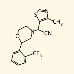 Cc1ncsc1C(C#N)N1CCOC(c2ccccc2C(F)(F)F)C1